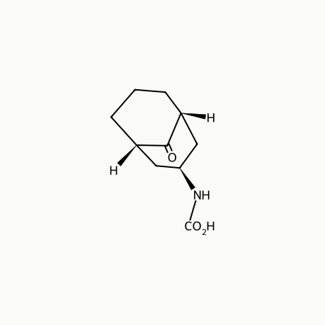 O=C(O)N[C@@H]1C[C@H]2CCC[C@@H](C1)C2=O